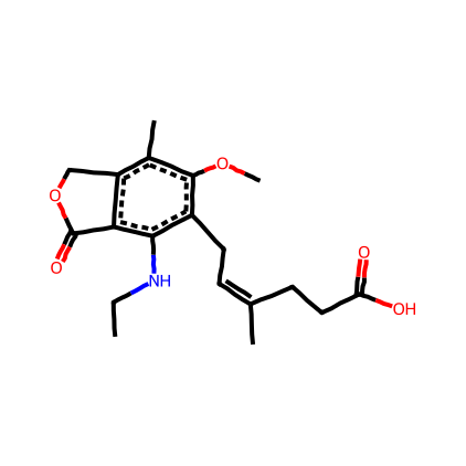 CCNc1c(CC=C(C)CCC(=O)O)c(OC)c(C)c2c1C(=O)OC2